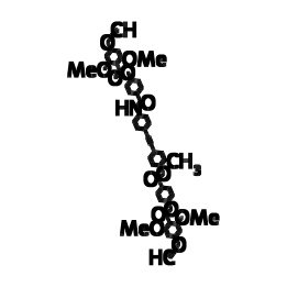 C#COc1cc(OC)c(C(=O)Oc2ccc(C(=O)Nc3ccc(C#Cc4ccc(OC(=O)c5ccc(OC(=O)c6c(OC)cc(OC#C)cc6OC)cc5)c(C)c4)cc3)cc2)c(OC)c1